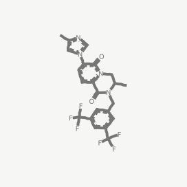 Cc1cn(-c2ccc3n(c2=O)CC(C)N(Cc2cc(C(F)(F)F)cc(C(F)(F)F)c2)C3=O)cn1